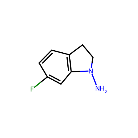 NN1CCc2ccc(F)cc21